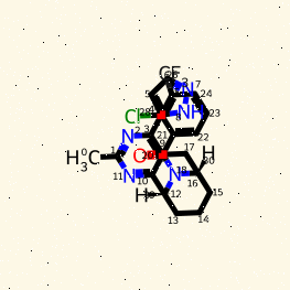 Cc1nc(-c2ccn[nH]2)c2c(n1)[C@H]1CCC[C@@H](C2)N1C(=O)c1cccc(C(F)(F)F)c1Cl